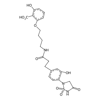 O=C(CCc1ccc(N2CC(=O)NS2(=O)=O)c(O)c1)NCCCCOc1cccc(O)c1C(=O)O